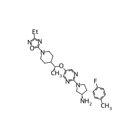 CCc1noc(N2CCC([C@H](C)Oc3cnc(N4C[C@H](c5cc(C)ccc5F)[C@@H](N)C4)nc3)CC2)n1